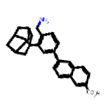 NCc1ccc(-c2ccc3cc(C(=O)O)ccc3c2)cc1C12CC3CC(CC(C3)C1)C2